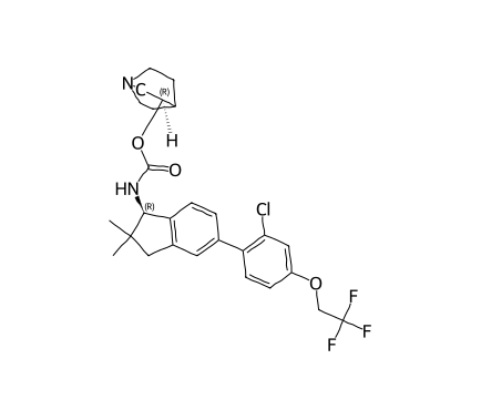 CC1(C)Cc2cc(-c3ccc(OCC(F)(F)F)cc3Cl)ccc2[C@@H]1NC(=O)O[C@H]1CN2CCC1CC2